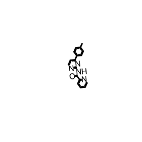 Cc1ccc(-c2ccnc(NC(=O)c3ccccn3)n2)cc1